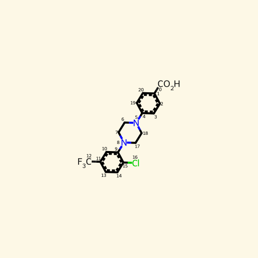 O=C(O)c1ccc(N2CCN(c3cc(C(F)(F)F)ccc3Cl)CC2)cc1